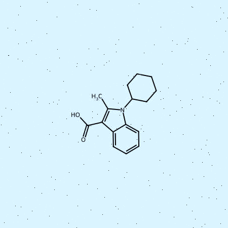 Cc1c(C(=O)O)c2ccccc2n1C1CCCCC1